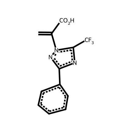 C=C(C(=O)O)n1nc(-c2ccccc2)nc1C(F)(F)F